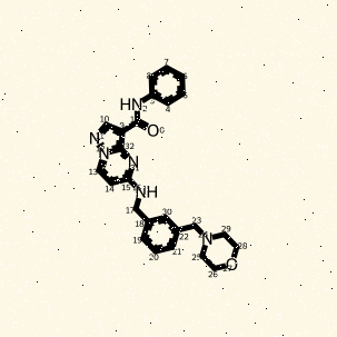 O=C(Nc1ccccc1)c1cnn2ccc(NCc3cccc(CN4CCOCC4)c3)nc12